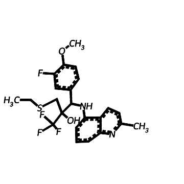 CCSCC(O)(C(Nc1cccc2nc(C)ccc12)c1ccc(OC)c(F)c1)C(F)(F)F